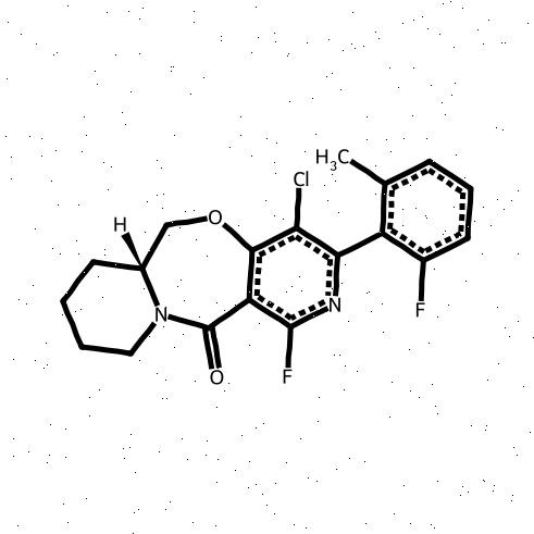 Cc1cccc(F)c1-c1nc(F)c2c(c1Cl)OC[C@H]1CCCCN1C2=O